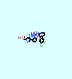 NC(=O)N1C2CCC1(c1ccc(Cl)c(F)c1)CC(n1c(=O)[nH]c3c(-c4ccc(CO)nc4)cccc31)C2